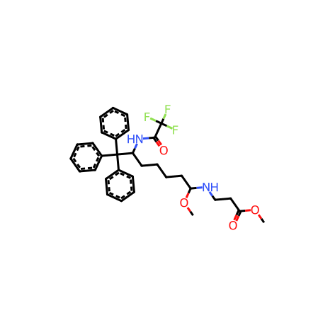 COC(=O)CCNC(CCCCC(NC(=O)C(F)(F)F)C(c1ccccc1)(c1ccccc1)c1ccccc1)OC